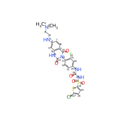 CN(C)CCNc1ccc2c(=O)n(-c3ccc(NC(=O)NS(=O)(=O)c4ccc(Cl)s4)cc3F)c(=O)[nH]c2c1